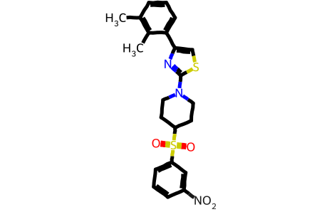 Cc1cccc(-c2csc(N3CCC(S(=O)(=O)c4cccc([N+](=O)[O-])c4)CC3)n2)c1C